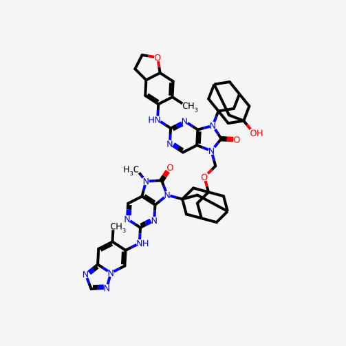 CC1=CC2OCCC2C=C1Nc1ncc2c(n1)n(C13CC4CC(CC(O)(C4)C1)C3)c(=O)n2COC12CC3CC(C1)CC(n1c(=O)n(C)c4cnc(Nc5cn6ncnc6cc5C)nc41)(C3)C2